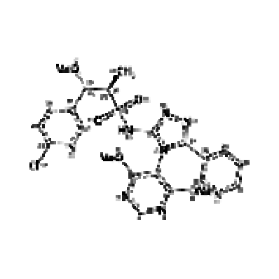 COc1ncnc(OC)c1-n1c(NS(=O)(=O)[C@H](C)[C@@H](OC)c2ccc(Cl)nc2)nnc1-c1cccnc1